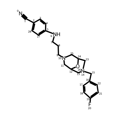 N#Cc1ccc(NCCCN2CC3CN(Cc4ccc(F)cc4)CC(C2)O3)cc1